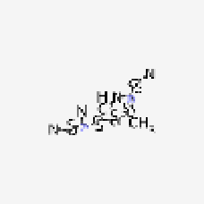 Cc1cc(/C=C(\C#N)c2ccc(C#N)s2)sc1-c1ccc(-c2sc(/C=C(\C#N)c3ccc(C#N)s3)cc2C)s1